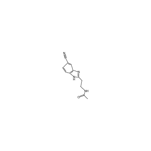 CC(=O)NCCc1nc2cc(C#N)ccc2[nH]1